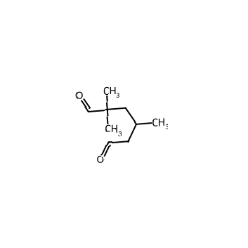 CC(CC=O)CC(C)(C)C=O